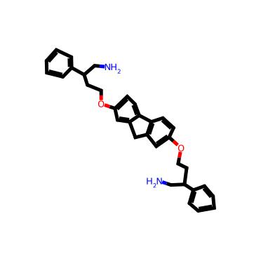 NCC(CCOc1ccc2c(c1)Cc1cc(OCCC(CN)c3ccccc3)ccc1-2)c1ccccc1